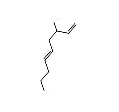 [CH]=CC(CC=CCCCCCCCC)OC